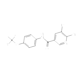 Cc1ncc(C(=O)Nc2ccc(OC(F)(F)Cl)cc2)cc1Br